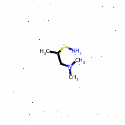 CC(CN(C)C)SN